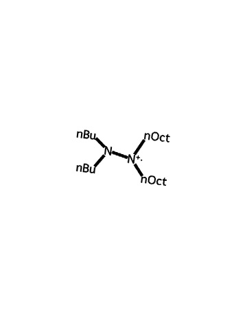 CCCCCCCC[N+](CCCCCCCC)N(CCCC)CCCC